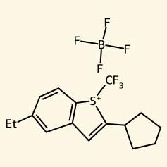 CCc1ccc2c(c1)cc(C1CCCC1)[s+]2C(F)(F)F.F[B-](F)(F)F